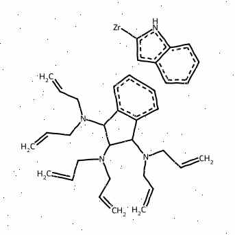 C=CCN(CC=C)C1c2ccccc2C(N(CC=C)CC=C)C1N(CC=C)CC=C.[Zr][c]1cc2ccccc2[nH]1